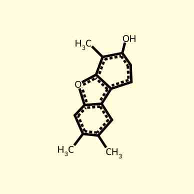 Cc1cc2oc3c(C)c(O)ccc3c2cc1C